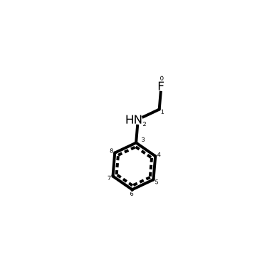 FCNc1ccccc1